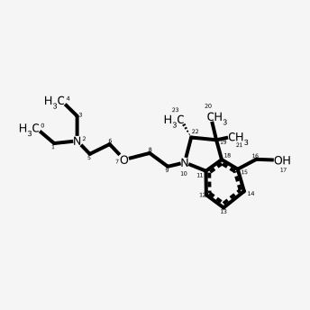 CCN(CC)CCOCCN1c2cccc(CO)c2C(C)(C)[C@H]1C